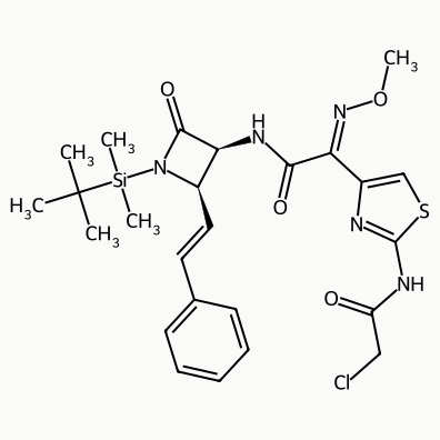 CON=C(C(=O)N[C@@H]1C(=O)N([Si](C)(C)C(C)(C)C)[C@@H]1C=Cc1ccccc1)c1csc(NC(=O)CCl)n1